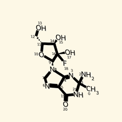 CC1(N)N=C2C(=NCN2[C@@H]2O[C@H](CO)[C@@H](O)[C@]2(O)F)C(=O)N1